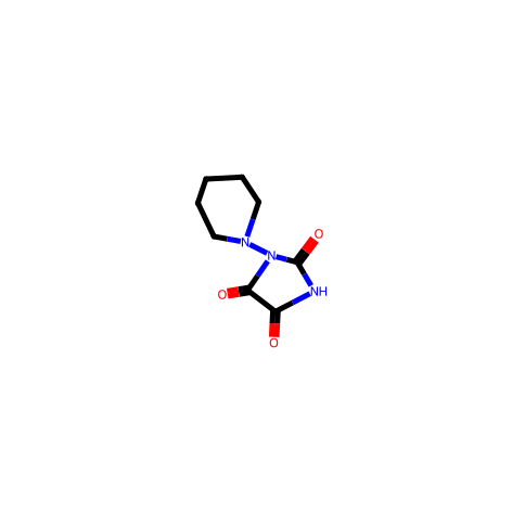 O=C1NC(=O)N(N2CCCCC2)C1=O